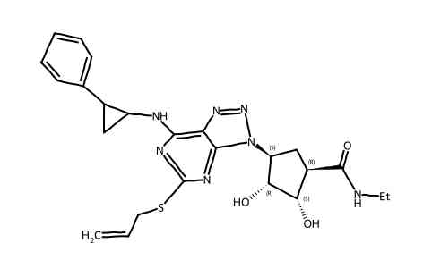 C=CCSc1nc(NC2CC2c2ccccc2)c2nnn([C@H]3C[C@@H](C(=O)NCC)[C@H](O)[C@@H]3O)c2n1